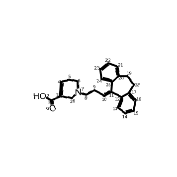 O=C(O)C1=CCCN(CCC=C2c3ccccc3CCc3ccccc32)C1